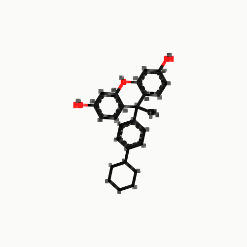 CC1(c2ccc(C3CCCCC3)cc2)c2ccc(O)cc2Oc2cc(O)ccc21